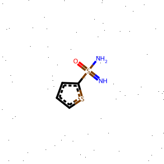 N=S(N)(=O)c1cccs1